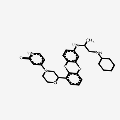 CC(CNC1CCCCC1)Nc1ccc2c(c1)Sc1cccc(C3CN(c4cc[nH]c(=O)c4)CCO3)c1S2